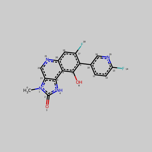 Cn1c(=O)[nH]c2c3c(O)c(-c4ccc(F)nc4)c(F)cc3ncc21